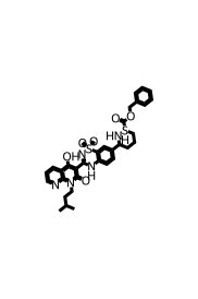 CC(C)CCn1c(=O)c(C2=NS(=O)(=O)c3cc(C4CCC[SH](C(=O)OCc5ccccc5)N4)ccc3N2)c(O)c2cccnc21